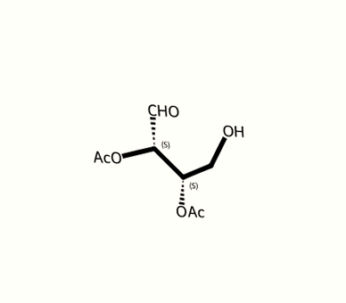 CC(=O)O[C@@H](CO)[C@@H](C=O)OC(C)=O